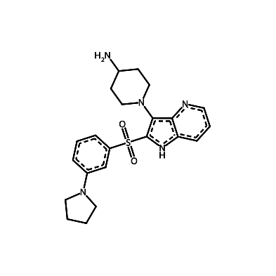 NC1CCN(c2c(S(=O)(=O)c3cccc(N4CCCC4)c3)[nH]c3cccnc23)CC1